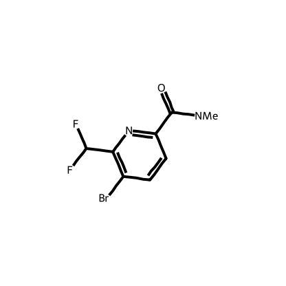 CNC(=O)c1ccc(Br)c(C(F)F)n1